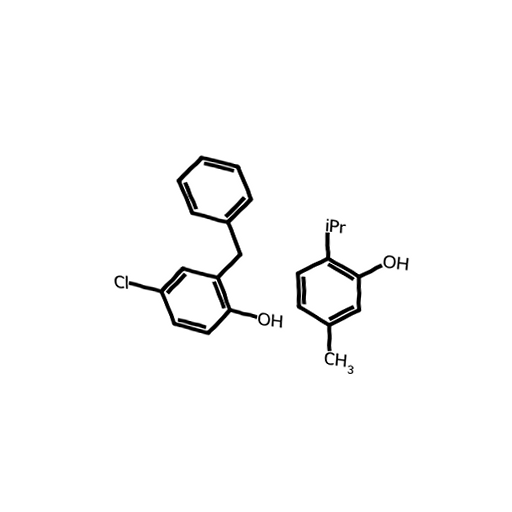 Cc1ccc(C(C)C)c(O)c1.Oc1ccc(Cl)cc1Cc1ccccc1